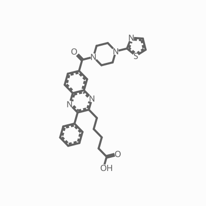 O=C(O)CCCCc1nc2cc(C(=O)N3CCN(c4nccs4)CC3)ccc2nc1-c1ccccc1